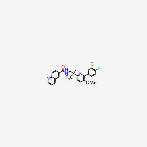 COc1ccc(C(C)(CNC(=O)c2ccc3ncccc3c2)C(F)(F)F)nc1-c1ccc(F)c(Cl)c1